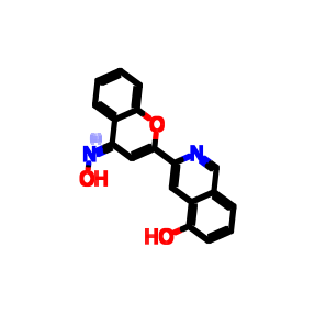 O/N=c1\cc(-c2cc3c(O)cccc3cn2)oc2ccccc12